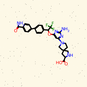 NC(=O)c1ccc(-c2ccc(C(Oc3cc(N4CCC5(CC4)CNC(C(=O)O)C5)nc(N)n3)C(F)(F)F)cc2)cc1